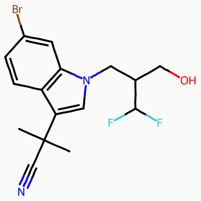 CC(C)(C#N)c1cn(CC(CO)C(F)F)c2cc(Br)ccc12